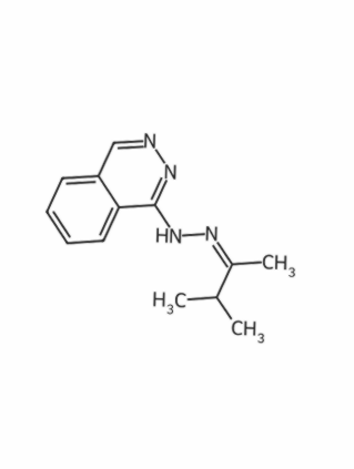 C/C(=N/Nc1nncc2ccccc12)C(C)C